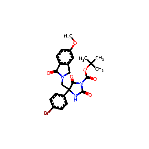 COc1ccc2c(c1)CN(CC1(c3ccc(Br)cc3)NC(=O)N(C(=O)OC(C)(C)C)C1=O)C2=O